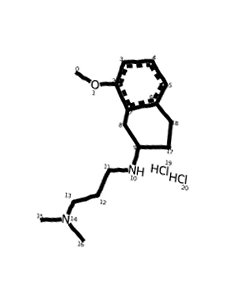 COc1cccc2c1CC(NCCCN(C)C)CC2.Cl.Cl